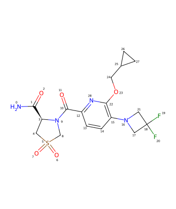 NC(=O)[C@@H]1CS(=O)(=O)CN1C(=O)c1ccc(N2CC(F)(F)C2)c(OCC2CC2)n1